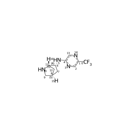 FC(F)(F)c1cnc(N[C@@H]2C[C@H]3CN[C@H]2C3)cn1